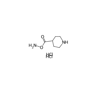 Cl.Cl.NOC(=O)C1CCNCC1